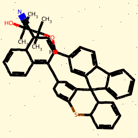 CC(C)(O)C(C)(C)OBc1ccc2c(c1)C1(C3=CC(C4=C5C=CC=CC5C(C#N)C=C4)CC=C3SC3C=CC=CC31)c1ccccc1-2